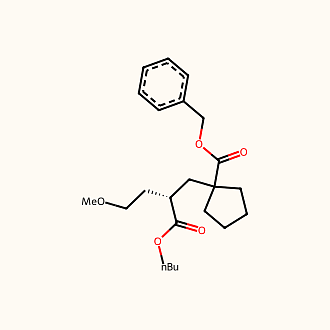 CCCCOC(=O)[C@H](CCOC)CC1(C(=O)OCc2ccccc2)CCCC1